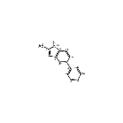 CC(=O)c1cc2cc(-c3ccccc3)ccc2[nH]1